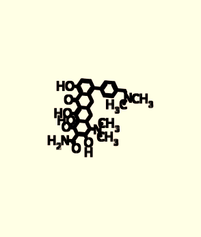 CN(C)Cc1ccc(-c2ccc(O)c3c2CC2CC4C(N(C)C)C(O)=C(C(N)=O)C(=O)C4(O)C(O)=C2C3=O)cc1